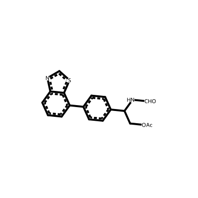 CC(=O)OCC(NC=O)c1ccc(-c2cccc3ncsc23)cc1